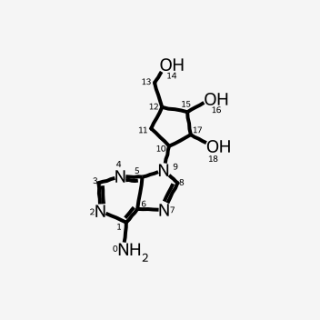 Nc1ncnc2c1ncn2C1CC(CO)C(O)C1O